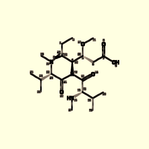 CC[C@H](C)[C@@H]([C@@H](CC(=O)O)OC)N(C(=O)[C@@H](NC)C(C)C)C(=O)[C@H](C(C)C)N(C)C